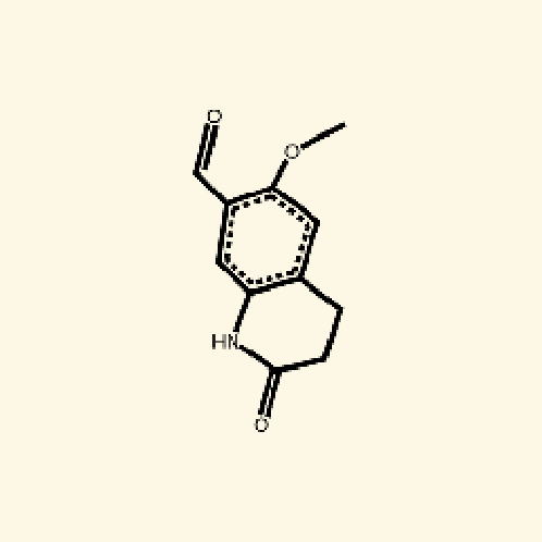 COc1cc2c(cc1C=O)NC(=O)CC2